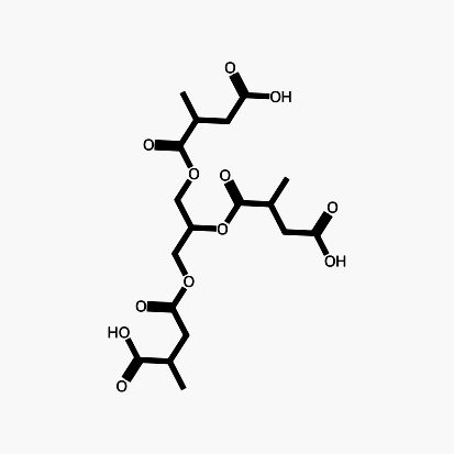 CC(CC(=O)OCC(COC(=O)C(C)CC(=O)O)OC(=O)C(C)CC(=O)O)C(=O)O